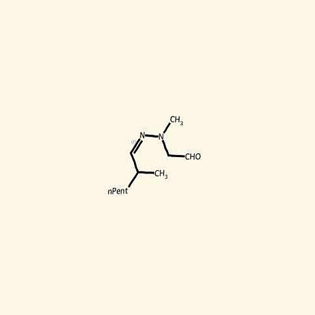 CCCCCC(C)/C=N\N(C)CC=O